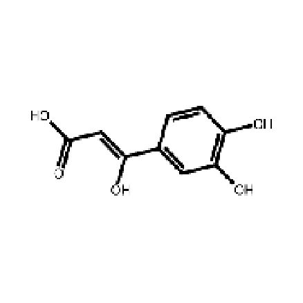 O=C(O)C=C(O)c1ccc(O)c(O)c1